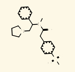 CN(C(=O)Cc1ccc(S(C)(=O)=O)cc1)C(CN1CCCC1)c1ccccc1